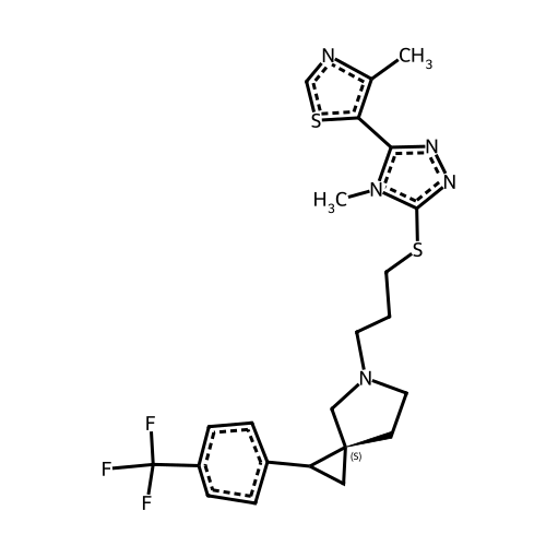 Cc1ncsc1-c1nnc(SCCCN2CC[C@]3(CC3c3ccc(C(F)(F)F)cc3)C2)n1C